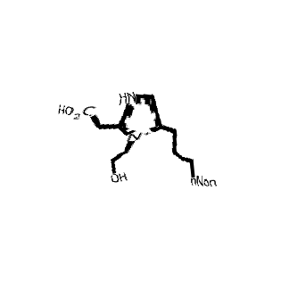 CCCCCCCCCCCCc1c[nH]c(CC(=O)O)[n+]1CCO